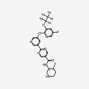 [2H]C([2H])([2H])C([2H])([2H])Oc1cc(F)cnc1Oc1cncc(-c2ncc(C(=O)N[C@@H]3CNCC[C@@H]3F)cn2)c1